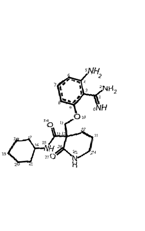 N=C(N)c1c(N)cccc1OCC1(C(=O)NC2CCCCC2)CCCNC1=O